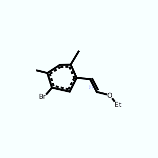 CCO/C=C/c1cc(Br)c(C)cc1C